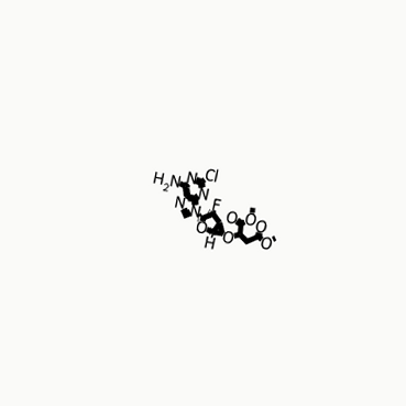 COC(=O)CC(OC1C2[C@@H]1O[C@@H](n1cnc3c(N)nc(Cl)nc31)[C@H]2F)C(=O)OC